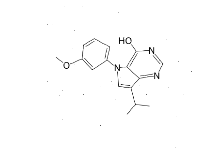 COc1cccc(-n2cc(C(C)C)c3ncnc(O)c32)c1